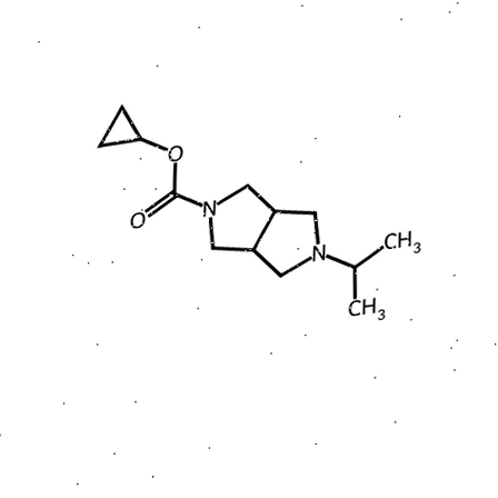 CC(C)N1CC2CN(C(=O)OC3CC3)CC2C1